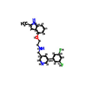 Cc1cc2c(OCCNCc3cncc(-c4cc(F)cc(F)c4)c3)cccc2[nH]1